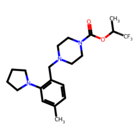 Cc1ccc(CN2CCN(C(=O)OC(C)C(F)(F)F)CC2)c(N2CCCC2)c1